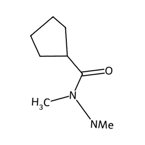 CNN(C)C(=O)C1CCCC1